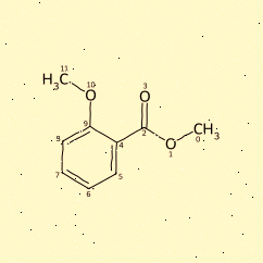 COC(=O)c1c[c]ccc1OC